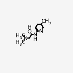 CC1C=NC(NC(O)CN(C)C)=CC1